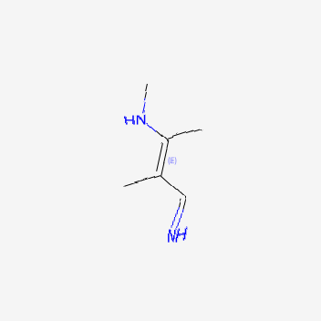 CN/C(C)=C(\C)C=N